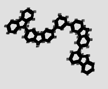 c1ccc2c(c1)sc1c(-c3ccc4oc5ccc(-c6cncc(-c7ccc8oc9ccc(-n%10c%11ccccc%11c%11ccccc%11%10)cc9c8c7)c6)cc5c4c3)cccc12